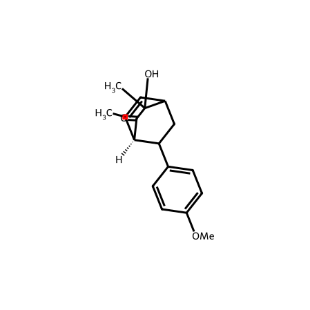 COc1ccc(C2CC3C=C(C)[C@H]2C(=O)C3(C)O)cc1